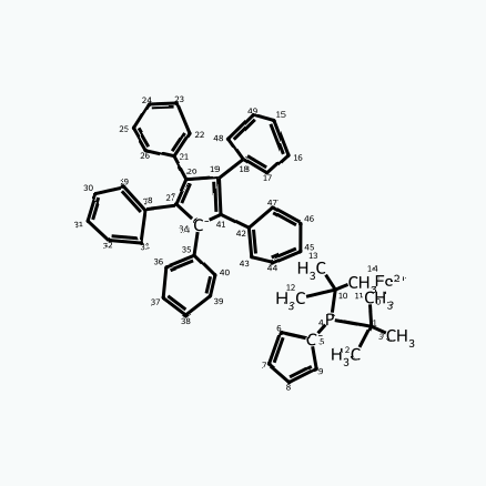 CC(C)(C)P([c-]1cccc1)C(C)(C)C.[Fe+2].c1ccc(-c2c(-c3ccccc3)c(-c3ccccc3)[c-](-c3ccccc3)c2-c2ccccc2)cc1